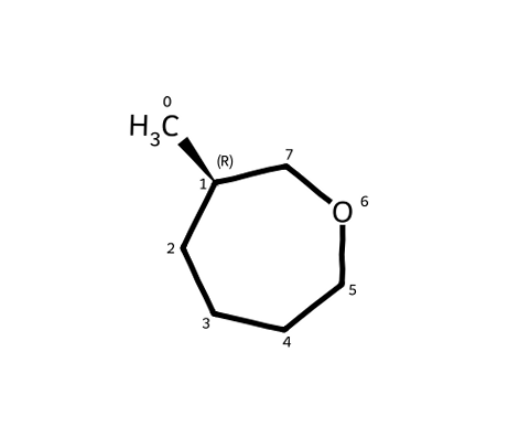 C[C@@H]1CCCCOC1